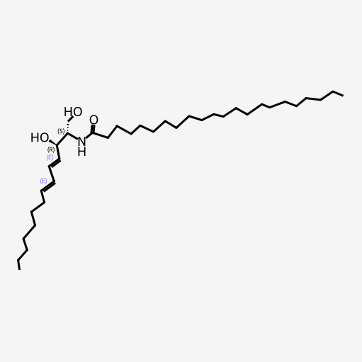 CCCCCCC/C=C/C=C/[C@@H](O)[C@H](CO)NC(=O)CCCCCCCCCCCCCCCCCCCCC